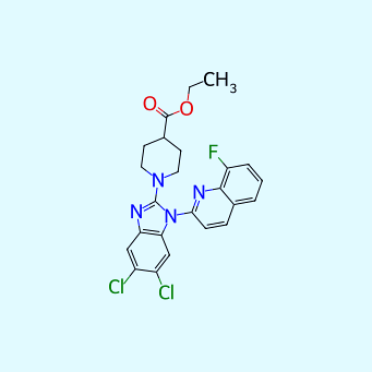 CCOC(=O)C1CCN(c2nc3cc(Cl)c(Cl)cc3n2-c2ccc3cccc(F)c3n2)CC1